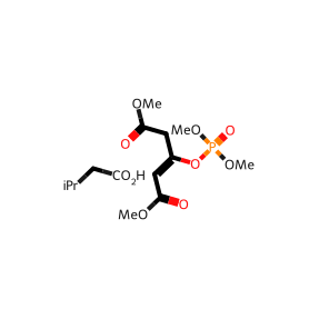 CC(C)CC(=O)O.COC(=O)/C=C(/CC(=O)OC)OP(=O)(OC)OC